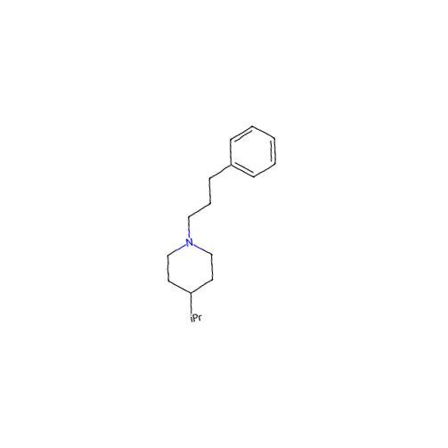 CC(C)C1CCN(CCCc2ccccc2)CC1